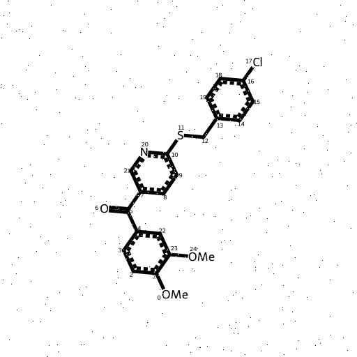 COc1ccc(C(=O)c2ccc(SCc3ccc(Cl)cc3)nc2)cc1OC